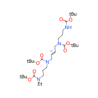 CCN(CCCN(C/C=C/CN(CCCNC(=O)OC(C)(C)C)C(=O)OC(C)(C)C)C(=O)OC(C)(C)C)C(=O)OC(C)(C)C